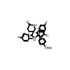 COc1ccc(Oc2ccc(F)cc2[C@H]2NC(=O)C[C@@H](C3C=C(F)C=CC3F)[C@]23C(=O)Nc2cc(Cl)ccc23)cc1